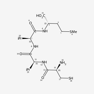 CSCC[C@H](NC(=O)[C@@H](NC(=O)[C@@H](NC(=O)[C@@H](N)CS)C(C)C)C(C)C)C(=O)O